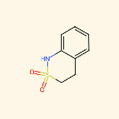 O=S1(=O)C[CH]c2ccccc2N1